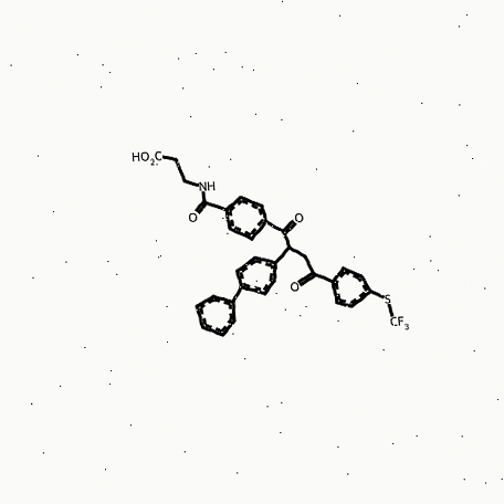 O=C(O)CCNC(=O)c1ccc(C(=O)C(CC(=O)c2ccc(SC(F)(F)F)cc2)c2ccc(-c3ccccc3)cc2)cc1